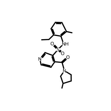 CCc1cccc(C)c1NS(=O)(=O)c1cnccc1C(=O)N1CCC(C)C1